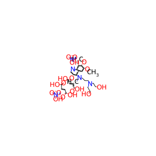 COc1cc2nccc(N(C)CCCN(CCO)CCO)c2cc1OC.O=C(O)C=CC(=O)O.O=C(O)C=CC(=O)O.O=[N+]([O-])O.O=[N+]([O-])O